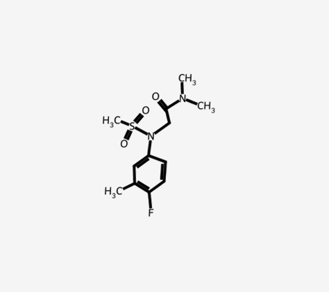 Cc1cc(N(CC(=O)N(C)C)S(C)(=O)=O)ccc1F